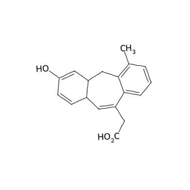 Cc1cccc2c1CC1C=C(O)C=CC1C=C2CC(=O)O